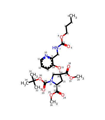 CCCCOC(=O)NCc1ncccc1O[C@]1(C(=O)OC)C[C@@H](C(=O)OC)N(C(=O)OC(C)(C)C)C1